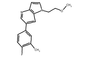 COCCn1ccc2ncc(-c3ccc(F)c(C)c3)cc21